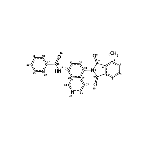 Cc1cccc2c1C(=O)N(c1ccc(NC(=O)c3ccccn3)c3cnccc13)C2=O